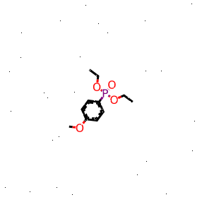 CCOP(=O)(OCC)c1ccc(OC)cc1